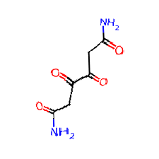 NC(=O)CC(=O)C(=O)CC(N)=O